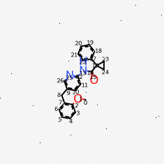 COc1ccccc1Cc1ccc(NC(=O)C2(c3ccccc3)CC2)nc1